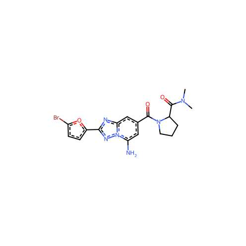 CN(C)C(=O)C1CCCN1C(=O)c1cc(N)n2nc(-c3ccc(Br)o3)nc2c1